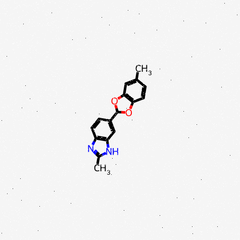 Cc1ccc2c(c1)OC(c1ccc3nc(C)[nH]c3c1)O2